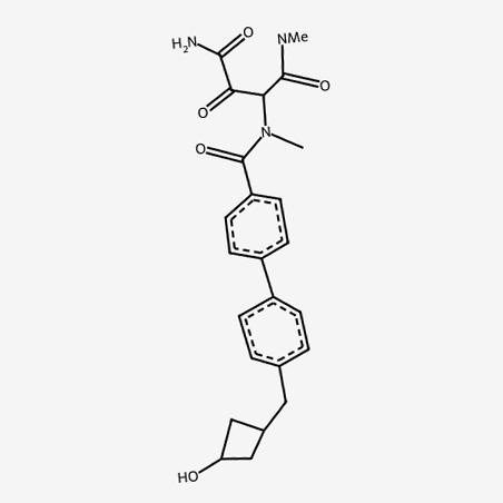 CNC(=O)C(C(=O)C(N)=O)N(C)C(=O)c1ccc(-c2ccc(CC3CC(O)C3)cc2)cc1